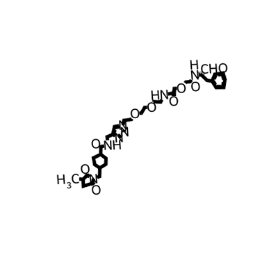 CC1CC(=O)N(CC2CCC(C(=O)NCc3cn(CCOCCOCCNC(=O)COCC(=O)N[C@@H](C=O)Cc4ccccc4)nn3)CC2)C1=O